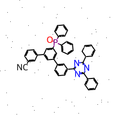 N#Cc1cccc(-c2cc(-c3cccc(-c4nc(-c5ccccc5)nc(C5C=CC=CC5)n4)c3)cc(P(=O)(c3ccccc3)c3ccccc3)c2)c1